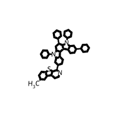 Cc1ccc2sc3c(-c4ccc5c6c7c8ccc(-c9ccccc9)cc8n(-c8ccccc8)c7c(-c7ccccc7)cc6n(-c6ccccc6)c5c4)nccc3c2c1